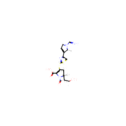 C[C@@H](O)[C@H]1C(=O)N2C(C(=O)O)=C(Sc3nc(C4=CCN(C=N)[C@H]4C)cs3)[C@H](C)[C@H]12